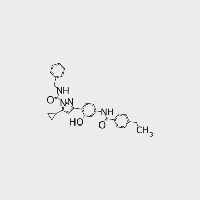 CCc1ccc(C(=O)Nc2ccc(-c3cc(C4CC4)n(C(=O)NCc4ccccc4)n3)c(O)c2)cc1